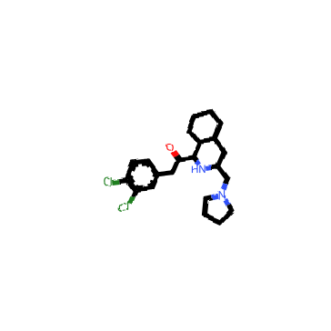 O=C(Cc1ccc(Cl)c(Cl)c1)C1NC(CN2CCCC2)CC2CCCCC21